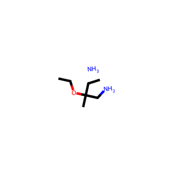 CCOC(C)(CC)CN.N